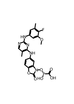 COc1cc(Nc2ncc(C)c(Nc3ccc4oc(=O)n(OP(O)C(=O)O)c4c3)n2)cc(C)c1F